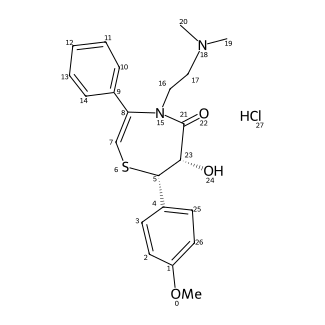 COc1ccc([C@@H]2SC=C(c3ccccc3)N(CCN(C)C)C(=O)[C@@H]2O)cc1.Cl